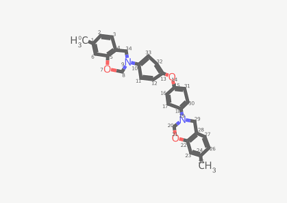 Cc1ccc2c(c1)OCN(c1ccc(Oc3ccc(N4COc5cc(C)ccc5C4)cc3)cc1)C2